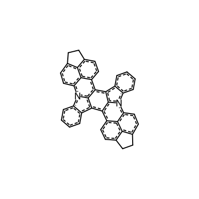 c1ccc2c(c1)c1c3c4ccc5c6c(ccc(c64)n4c6ccccc6c(c6c7ccc8c9c(ccc(c97)n2c61)CC8)c34)CC5